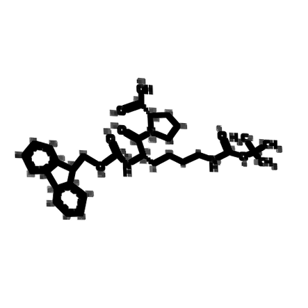 CC(C)(C)OC(=O)NCCCC[C@H](NC(=O)OCC1c2ccccc2-c2ccccc21)C(=O)N1CCC[C@H]1C(=O)O